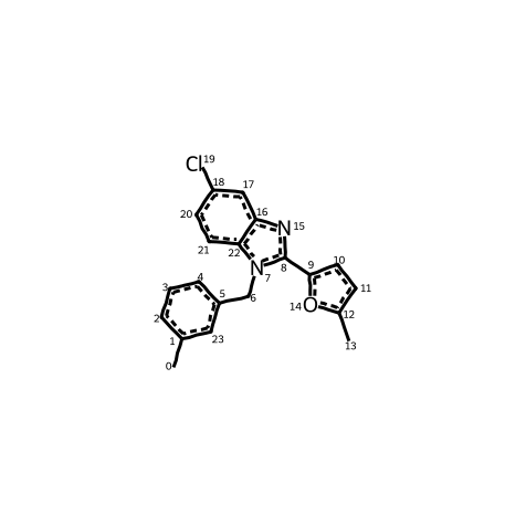 Cc1cccc(Cn2c(-c3ccc(C)o3)nc3cc(Cl)ccc32)c1